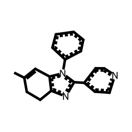 CC1=Cc2c(nc(-c3ccncc3)n2-c2ccccc2)CC1